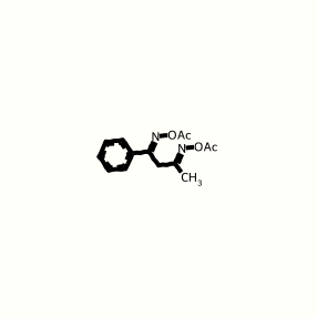 CC(=O)ON=C(C)CC(=NOC(C)=O)c1ccccc1